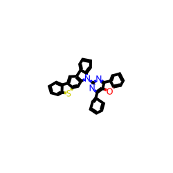 c1ccc(-c2nc(-n3c4ccccc4c4cc5c(cc43)sc3ccccc35)nc3c2oc2ccccc23)cc1